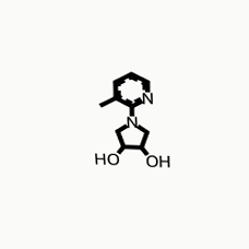 Cc1cccnc1N1CC(O)C(O)C1